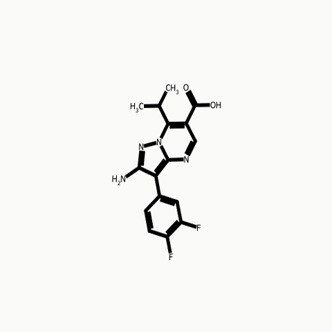 CC(C)c1c(C(=O)O)cnc2c(-c3ccc(F)c(F)c3)c(N)nn12